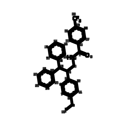 O=C(NCC(c1ccc(CI)cc1)C(c1ccccc1)c1ccccc1)c1ccc(C(F)(F)F)cc1